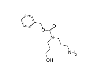 NCCCN(CCCO)C(=O)OCc1ccccc1